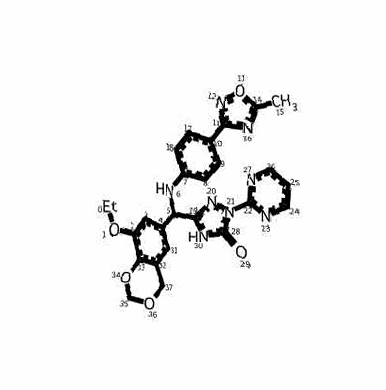 CCOc1cc(C(Nc2ccc(-c3noc(C)n3)cc2)c2nn(-c3ncccn3)c(=O)[nH]2)cc2c1OCOC2